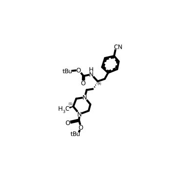 C[C@H]1CN(CC[C@@H](Cc2ccc(C#N)cc2)NC(=O)OC(C)(C)C)CCN1C(=O)OC(C)(C)C